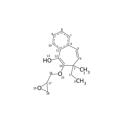 CCC1(C)C=Cc2ccccc2C(O)=C1OCC1CO1